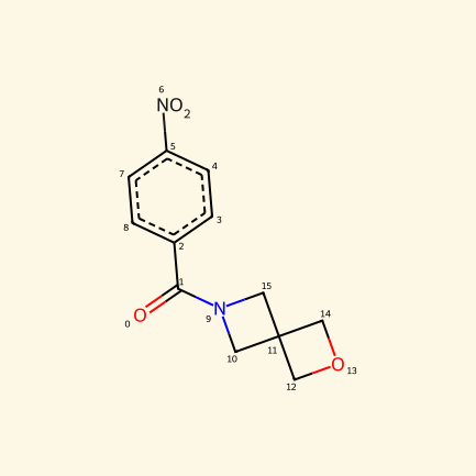 O=C(c1ccc([N+](=O)[O-])cc1)N1CC2(COC2)C1